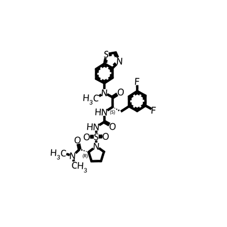 CN(C)C(=O)[C@H]1CCCN1S(=O)(=O)NC(=O)N[C@@H](Cc1cc(F)cc(F)c1)C(=O)N(C)c1ccc2scnc2c1